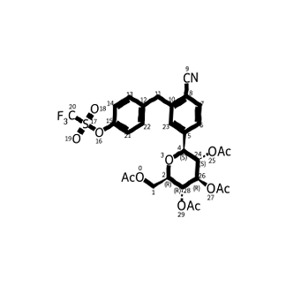 CC(=O)OC[C@H]1O[C@@H](c2ccc(C#N)c(Cc3ccc(OS(=O)(=O)C(F)(F)F)cc3)c2)[C@H](OC(C)=O)[C@@H](OC(C)=O)[C@@H]1OC(C)=O